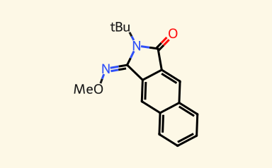 CO/N=C1\c2cc3ccccc3cc2C(=O)N1C(C)(C)C